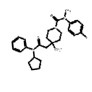 CN(C(=O)N1CCC(CC(=O)N(c2ccccc2)C2CCCC2)(C(=O)O)CC1)c1ccc(F)cc1